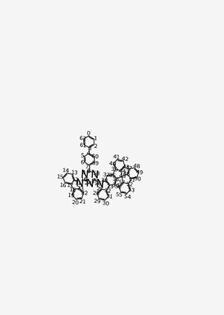 c1ccc(-c2ccc(-c3nc(-n4c5ccccc5c5ccccc54)nc(-n4c5ccccc5c5cc6c(cc54)-c4ccccc4C64c5ccccc5-c5ccccc54)n3)cc2)cc1